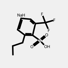 CCCc1cccc(C(F)(F)F)c1S(=O)(=O)O.[NaH]